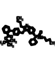 CCCCNC(=O)N(c1ccc2nc(CCCC)n(Cc3ccc(-c4ccccc4C(=O)OC(C)(C)C)cc3)c2c1)C1CCCCC1